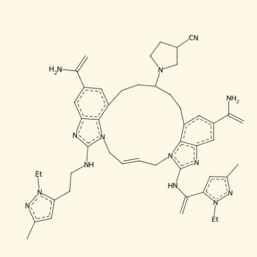 C=C(N)c1cc2c3c(c1)nc(NCCc1cc(C)nn1CC)n3C/C=C/Cn1c(NC(=C)c3cc(C)nn3CC)nc3cc(C(=C)N)cc(c31)CCC(N1CCC(C#N)C1)CC2